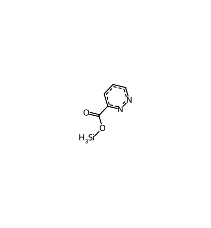 O=C(O[SiH3])c1cccnn1